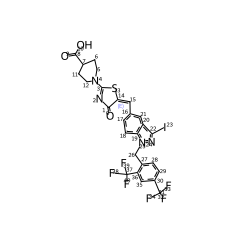 O=C1N=C(N2CCC(C(=O)O)CC2)S/C1=C/c1ccc2c(c1)c(I)nn2Cc1ccc(C(F)(F)F)cc1C(F)(F)F